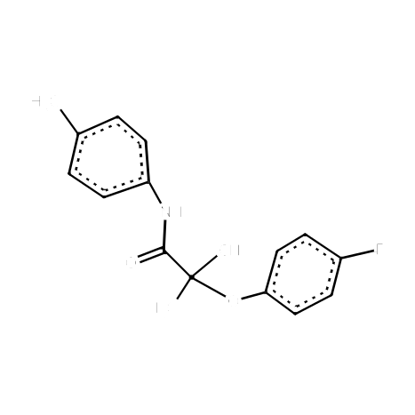 Cc1ccc(NC(=O)C(C)(C)Oc2ccc(F)cc2)cc1